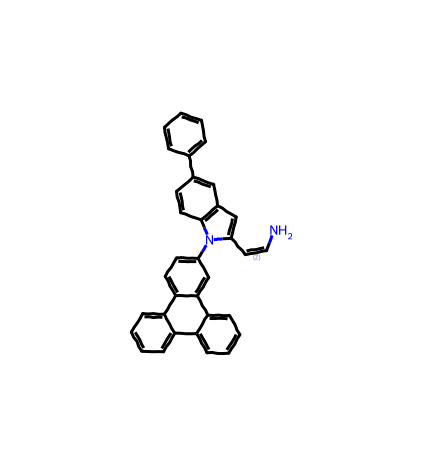 N/C=C\c1cc2cc(-c3ccccc3)ccc2n1-c1ccc2c3ccccc3c3ccccc3c2c1